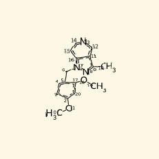 COc1ccc(Cn2nc(C)c3cnccc32)c(OC)c1